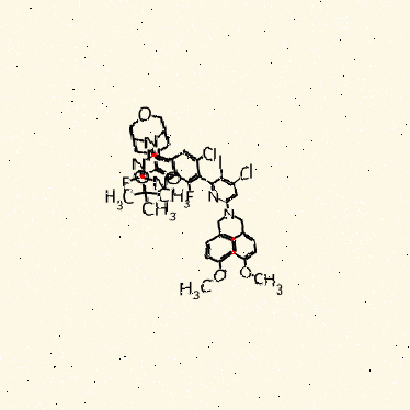 COc1ccc(CN(Cc2ccc(OC)cc2)c2cc(Cl)c(I)c(-c3c(Cl)cc4c(N5C6COCC5CN(C(=O)OC(C)(C)C)C6)nc(F)nc4c3F)n2)cc1